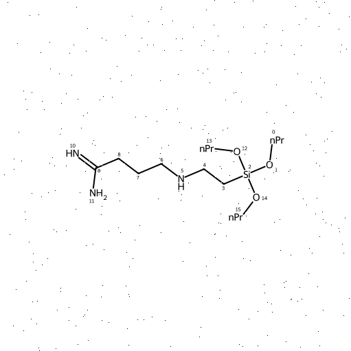 CCCO[Si](CCNCCCC(=N)N)(OCCC)OCCC